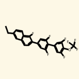 CCc1ccc2c(F)c(-c3cc(F)c(-c4cc(F)c(OC(F)(F)F)c(F)c4)c(F)c3)ccc2c1